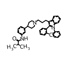 CC(C)C(=O)Nc1cccc(C2CCN(CCCc3c(-c4ccccc4Cl)n(-c4ccccc4)c4ccccc34)CC2)c1